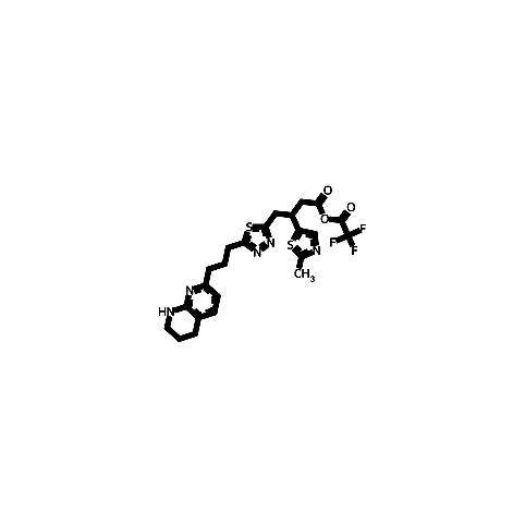 Cc1ncc(C(CC(=O)OC(=O)C(F)(F)F)Cc2nnc(CCCc3ccc4c(n3)NCCC4)s2)s1